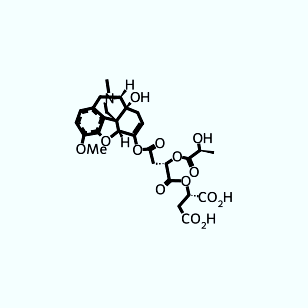 COc1ccc2c3c1O[C@H]1C(OC(=O)C[C@H](OC(=O)[C@H](C)O)C(=O)O[C@@H](CC(=O)O)C(=O)O)=CC[C@@]4(O)[C@@H](C2)N(C)CC[C@]314